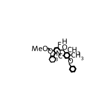 COCOc1cc(F)c(C(O)c2c(C)cc(OCc3ccccc3)c(C)c2C)nc1C1=CCCCC1